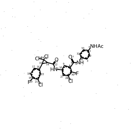 CC(=O)Nc1ccc(NC(=O)c2cc(NC(=O)C3C(c4ccc(F)c(Cl)c4)C3(Cl)Cl)cc(Cl)c2F)cc1